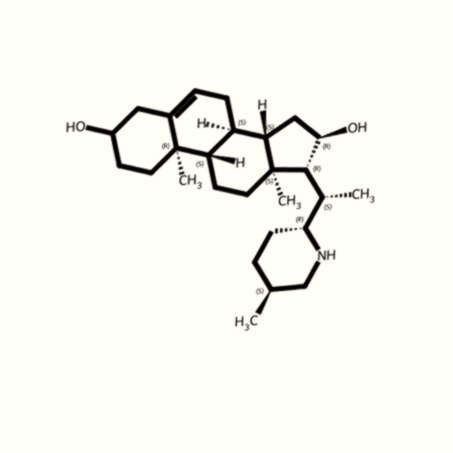 C[C@H]1CC[C@H]([C@@H](C)[C@H]2[C@H](O)C[C@H]3[C@@H]4CC=C5CC(O)CC[C@]5(C)[C@H]4CC[C@]23C)NC1